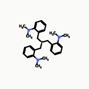 CN(C)c1ccccc1[CH2][Y]([CH2]c1ccccc1N(C)C)[CH2]c1ccccc1N(C)C